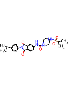 CC(C)c1ccc(N2C(=O)c3ccc(NC(=O)N4CCC(NS(=O)(=O)C(C)C)CC4)cc3C2=O)cc1